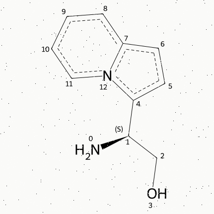 N[C@H](CO)c1ccc2ccccn12